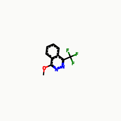 COc1nnc(C(F)(F)F)c2ccccc12